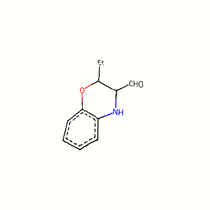 CCC1Oc2ccccc2NC1C=O